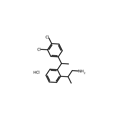 CC(CN)c1ccccc1C(C)c1ccc(Cl)c(Cl)c1.Cl